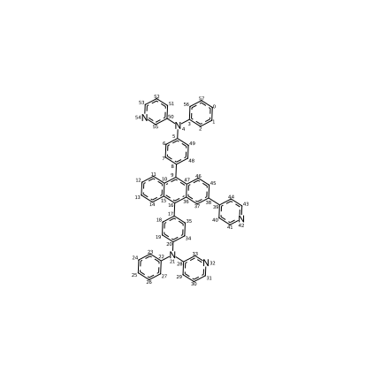 c1ccc(N(c2ccc(-c3c4ccccc4c(-c4ccc(N(c5ccccc5)c5cccnc5)cc4)c4cc(-c5ccncc5)ccc34)cc2)c2cccnc2)cc1